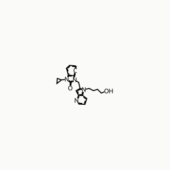 O=c1n(Cc2cc3ncccc3n2CCCCO)c2ccccc2n1C1CC1